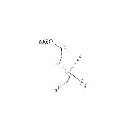 COCCC(F)(F)F